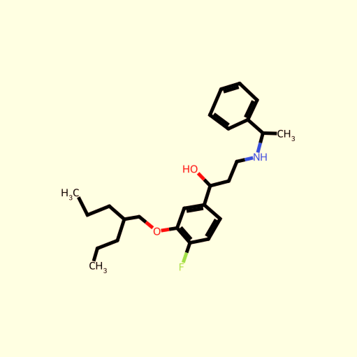 CCCC(CCC)COc1cc(C(O)CCNC(C)c2ccccc2)ccc1F